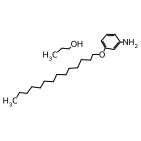 CCCCCCCCCCCCCCOc1cccc(N)c1.CCCO